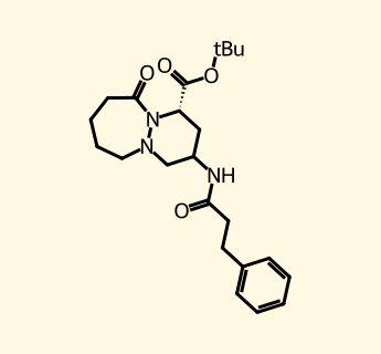 CC(C)(C)OC(=O)[C@@H]1CC(NC(=O)CCc2ccccc2)CN2CCCCC(=O)N12